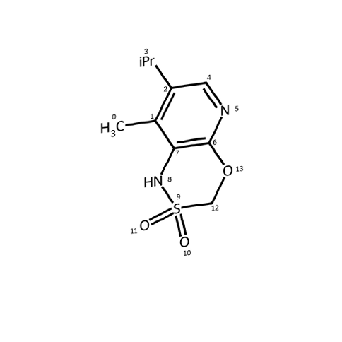 Cc1c(C(C)C)cnc2c1NS(=O)(=O)CO2